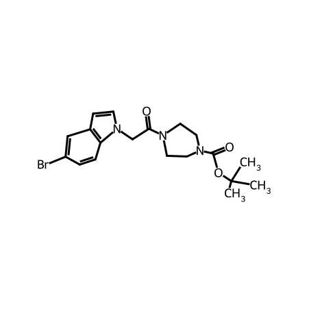 CC(C)(C)OC(=O)N1CCN(C(=O)Cn2ccc3cc(Br)ccc32)CC1